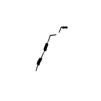 CC#CC#CCOC=O